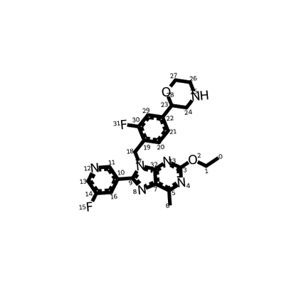 CCOc1nc(C)c2nc(-c3cncc(F)c3)n(Cc3ccc(C4CNCCO4)cc3F)c2n1